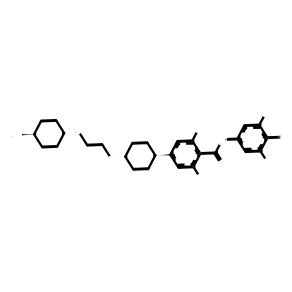 CCC[C@H]1CC[C@H](CCCC[C@H]2CC[C@H](c3cc(F)c(C(=O)Oc4cc(F)c(F)c(F)c4)c(F)c3)CC2)CC1